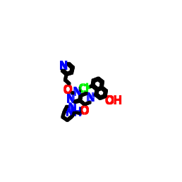 Oc1cc(N2Cc3nc(OCCc4cccnc4)nc4c3C(C2)OCC2C3CCC(CN42)N3)c2c(Cl)cccc2c1